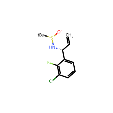 C=C[C@@H](N[S@+]([O-])C(C)(C)C)c1cccc(Cl)c1F